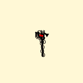 C=C(C)[C@@](C)(O)[C@H]1C[C@@]23CC[C@@]1(OC)[C@@H]1Oc4c(OC(=O)OCCOCCOCCOC)ccc5c4[C@@]12CCN(CC1CC1)[C@@H]3C5